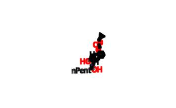 CCCCC[C@@H](O)/C=C/[C@@H]1[C@H]2Cc3cccc(OCC(=O)OCC4CC4)c3C[C@H]2C[C@H]1O